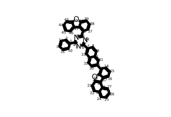 c1ccc(-c2nc(-c3ccc4cc(-c5cccc6c5oc5ccc7ccccc7c56)ccc4c3)nc(-c3cccc4oc5ccccc5c34)n2)cc1